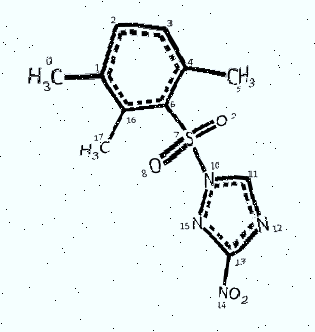 Cc1ccc(C)c(S(=O)(=O)n2cnc([N+](=O)[O-])n2)c1C